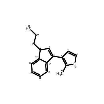 Cc1occc1C1=CC(CCS)c2ccccc21